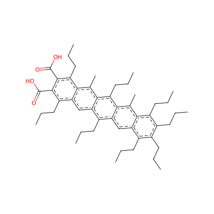 CCCc1c(CCC)c(CCC)c2c(C)c3c(CCC)c4c(C)c5c(CCC)c(C(=O)O)c(C(=O)O)c(CCC)c5cc4c(CCC)c3cc2c1CCC